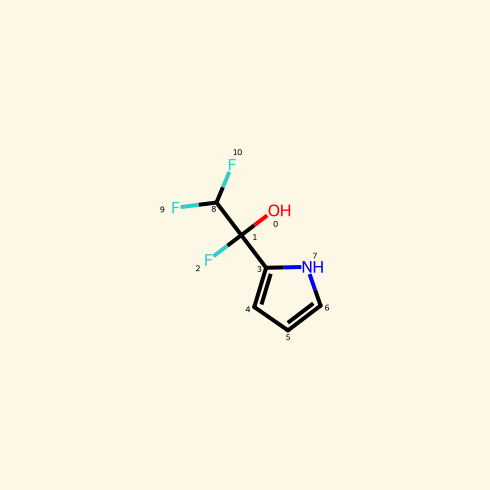 OC(F)(c1ccc[nH]1)C(F)F